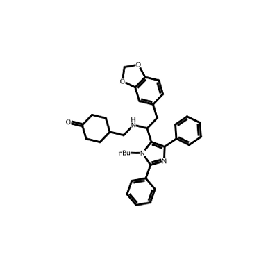 CCCCn1c(-c2ccccc2)nc(-c2ccccc2)c1C(Cc1ccc2c(c1)OCO2)NCC1CCC(=O)CC1